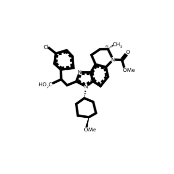 COC(=O)N1c2ccc3c(nc(CC(C(=O)O)c4cccc(Cl)c4)n3[C@H]3CC[C@H](OC)CC3)c2CC[C@@H]1C